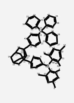 Cc1cc(C)c(B(c2ccc(C34CC5CC(C3)CC(c3ccc([Si](c6ccccc6)(c6ccccc6)c6ccccc6)cc3)(C5)C4)cc2)c2c(C)cc(C)cc2C)c(C)c1